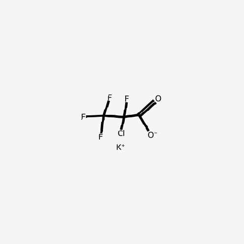 O=C([O-])C(F)(Cl)C(F)(F)F.[K+]